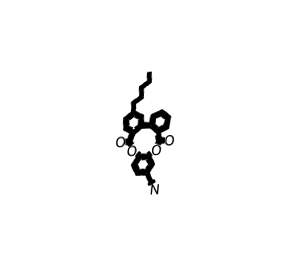 CCCCCc1ccc2c(=O)oc3ccc(C#N)cc3oc(=O)c3ccccc3c2c1